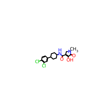 CN1CC(C(=O)NC2CCC(c3ccc(Cl)c(Cl)c3)CC2)=C(O)C1=O